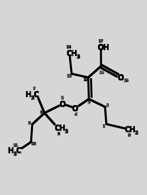 CCCC(OOC(C)(C)CCC)=C(CC)C(=O)O